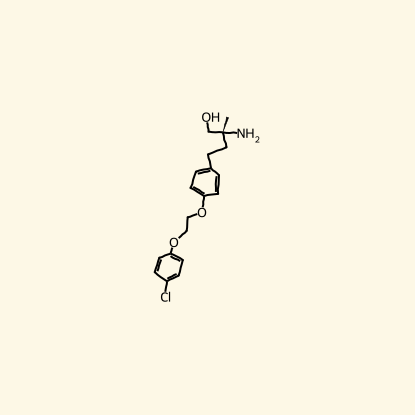 C[C@](N)(CO)CCc1ccc(OCCOc2ccc(Cl)cc2)cc1